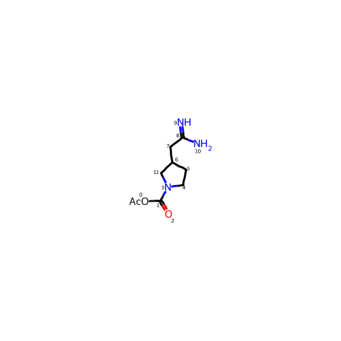 CC(=O)OC(=O)N1CCC(CC(=N)N)C1